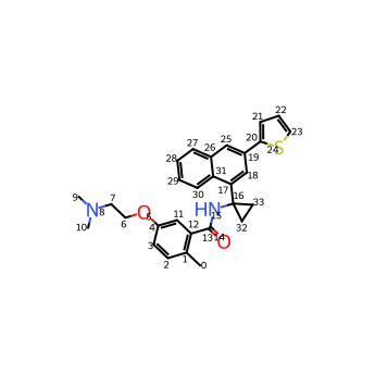 Cc1ccc(OCCN(C)C)cc1C(=O)NC1(c2cc(-c3cccs3)cc3ccccc23)CC1